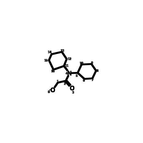 [O]CC(=O)N(C1CCCCC1)C1CCCCC1